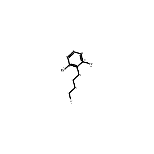 [O]CCCCc1c(Br)cccc1Br